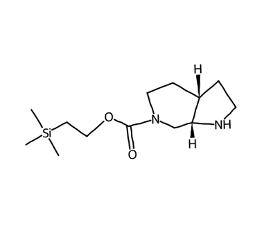 C[Si](C)(C)CCOC(=O)N1CC[C@@H]2CCN[C@@H]2C1